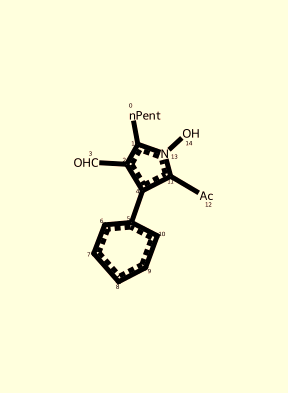 CCCCCc1c(C=O)c(-c2ccccc2)c(C(C)=O)n1O